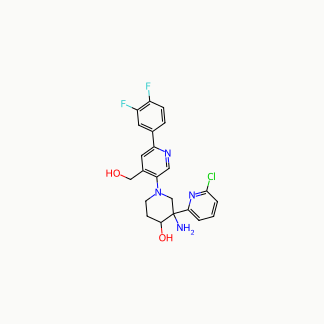 NC1(c2cccc(Cl)n2)CN(c2cnc(-c3ccc(F)c(F)c3)cc2CO)CCC1O